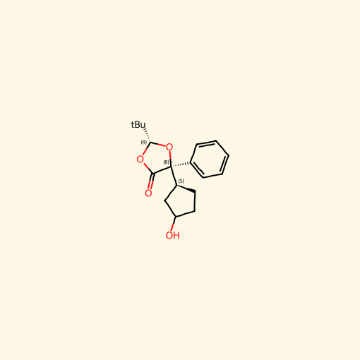 CC(C)(C)[C@H]1OC(=O)[C@](c2ccccc2)([C@H]2CCC(O)C2)O1